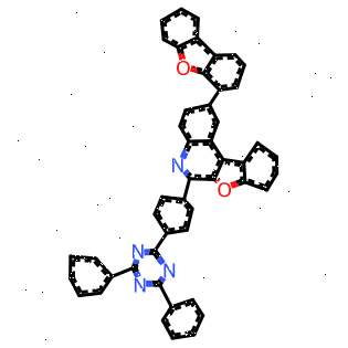 c1ccc(-c2nc(-c3ccccc3)nc(-c3ccc(-c4nc5ccc(-c6cccc7c6oc6ccccc67)cc5c5c4oc4ccccc45)cc3)n2)cc1